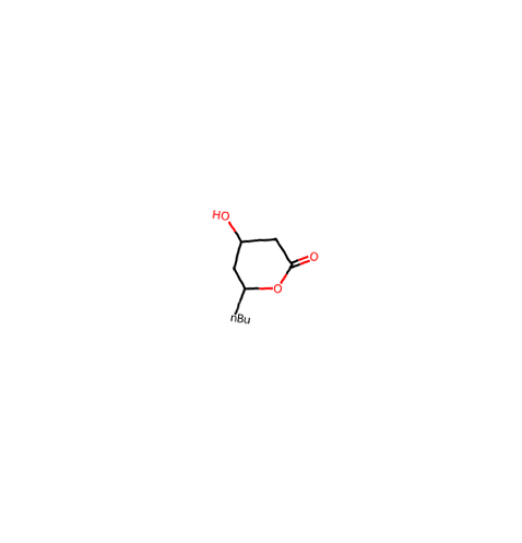 CCCCC1CC(O)CC(=O)O1